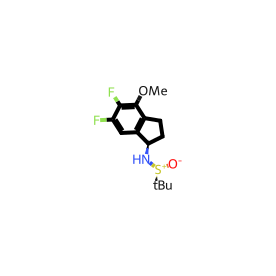 COc1c(F)c(F)cc2c1CC[C@H]2N[S@+]([O-])C(C)(C)C